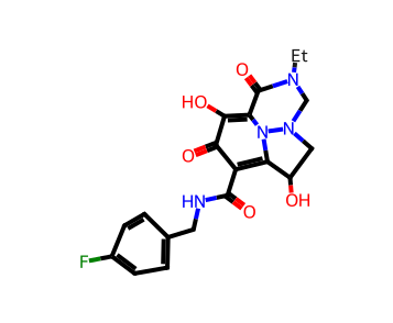 CCN1CN2CC(O)c3c(C(=O)NCc4ccc(F)cc4)c(=O)c(O)c(n32)C1=O